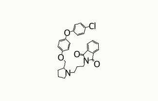 O=C1c2ccccc2C(=O)N1CCCN1CCCC1COc1ccc(Oc2ccc(Cl)cc2)cc1